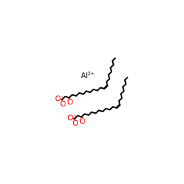 CCCCCCCC/C=C\CCCCCCCCCC(=O)CC(=O)[O-].CCCCCCCC/C=C\CCCCCCCCCC(=O)CC(=O)[O-].[Al+2]